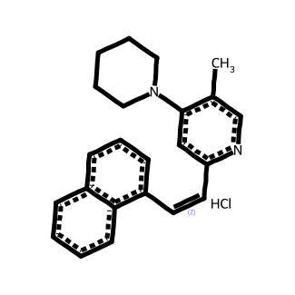 Cc1cnc(/C=C\c2cccc3ccccc23)cc1N1CCCCC1.Cl